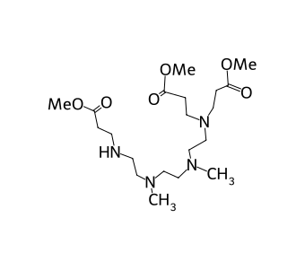 COC(=O)CCNCCN(C)CCN(C)CCN(CCC(=O)OC)CCC(=O)OC